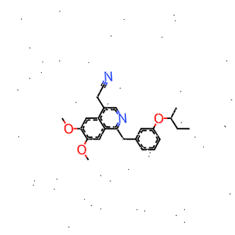 CCC(C)Oc1cccc(Cc2ncc(CC#N)c3cc(OC)c(OC)cc23)c1